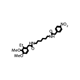 CCc1c(CC(=O)NCCCCCCNC(=O)Cc2ccc([N+](=O)[O-])cc2)ccc(OC)c1OC